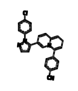 N#Cc1ccc(C2=CCC=C3C=CC(c4ccnn4-c4ccc(Cl)cc4)=CN32)cc1